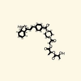 CC(O)C(=O)OC(C)C(=O)OCC(=O)N1CCN(C(=O)c2ccc(/C=C/c3n[nH]c4ccccc34)cc2)CC1